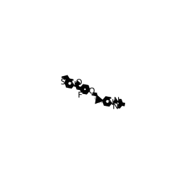 Cc1cnc(N2CCC([C@H]3C[C@H]3CCOc3ccc(CC(=O)N4CCc5sccc5C4)c(F)c3)CC2)nc1